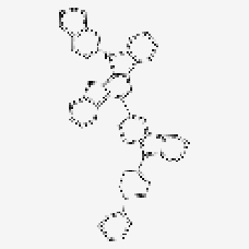 C1=C(c2ccccc2)CCC(n2c3ccccc3c3cc(-c4cc5c6ccccc6n(-c6ccc7ccccc7c6)c5c5sc6ccccc6c45)ccc32)=C1